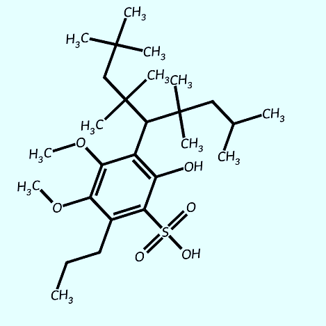 CCCc1c(OC)c(OC)c(C(C(C)(C)CC(C)C)C(C)(C)CC(C)(C)C)c(O)c1S(=O)(=O)O